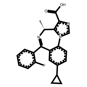 C[C@H]1N=C(c2ccccc2F)c2cc(C3CC3)ccc2-n2cnc(C(=O)O)c21